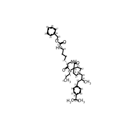 CCCN1C(=O)[C@H](CCCCNC(=O)OCc2ccccc2)NC(=O)C12CCN(CC(C)Cc1ccc(C(C)C)cc1)CC2